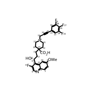 COc1ccc2ncc(F)c([C@H](O)CCC3(C(=O)O)CCN(CC#Cc4cc(F)c(F)c(F)c4)CC3)c2c1